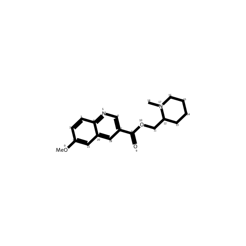 COc1ccc2ncc(C(=O)OCC3CCCCN3C)cc2c1